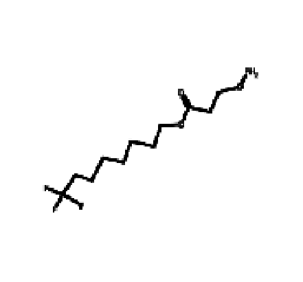 O=C(CCOP)OCCCCCCCC(F)(F)F